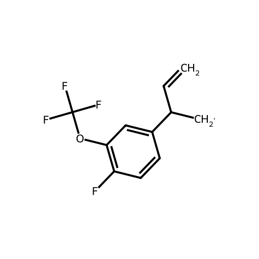 [CH2]C(C=C)c1ccc(F)c(OC(F)(F)F)c1